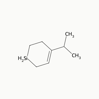 CC(C)C1=CC[SiH2]CC1